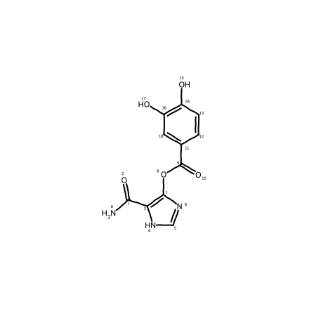 NC(=O)c1[nH]cnc1OC(=O)c1ccc(O)c(O)c1